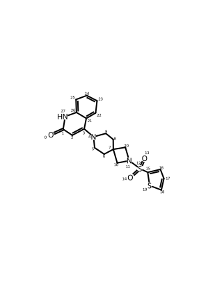 O=c1cc(N2CCC3(CC2)CN(S(=O)(=O)c2cccs2)C3)c2ccccc2[nH]1